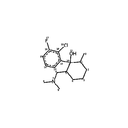 CC1CCCC(CN(C)C)C1(O)c1cccc(F)c1Cl